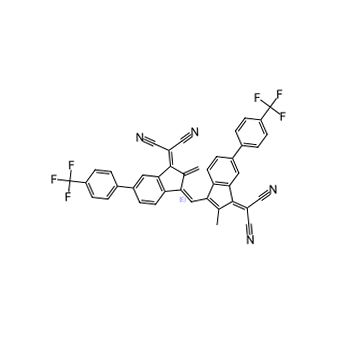 C=C1C(=C(C#N)C#N)c2cc(-c3ccc(C(F)(F)F)cc3)ccc2/C1=C/C1=C(C)C(=C(C#N)C#N)c2cc(-c3ccc(C(F)(F)F)cc3)ccc21